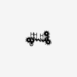 O=c1cc(NCCCNCc2cn(Cc3ccccc3)c3ccccc23)[nH]c2ccccc12